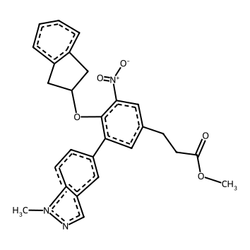 COC(=O)CCc1cc(-c2ccc3c(cnn3C)c2)c(OC2Cc3ccccc3C2)c([N+](=O)[O-])c1